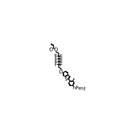 C=CC(=O)OCCC(F)(F)C(F)(F)C(F)(F)C(F)(F)CCOc1ccc2cc(-c3ccc(CCCCC)cc3C)sc2c1